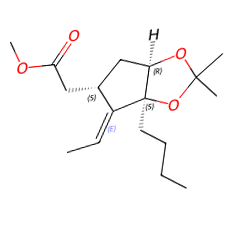 C/C=C1\[C@H](CC(=O)OC)C[C@H]2OC(C)(C)O[C@@]12CCCC